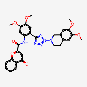 COc1cc2c(cc1OC)CN(n1nnc(-c3cc(OC)c(OC)cc3NC(=O)c3cc(=O)c4ccccc4o3)n1)CC2